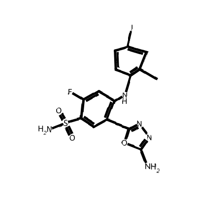 Cc1cc(I)ccc1Nc1cc(F)c(S(N)(=O)=O)cc1-c1nnc(N)o1